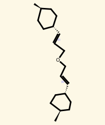 C[C@H]1CC[C@H](/C=C/COC/C=C/[C@H]2CC[C@H](C)CC2)CC1